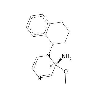 CO[C@]1(N)C=NC=CN1C1CCCc2ccccc21